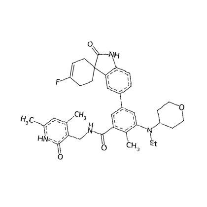 CCN(c1cc(-c2ccc3c(c2)C2(CC=C(F)CC2)C(=O)N3)cc(C(=O)NCc2c(C)cc(C)[nH]c2=O)c1C)C1CCOCC1